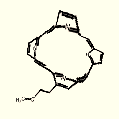 COCCC1=CC2=CC3=NC(=CC4=NC(=CC5=NC(=CC1=N2)C=C5)C=C4)C=C3